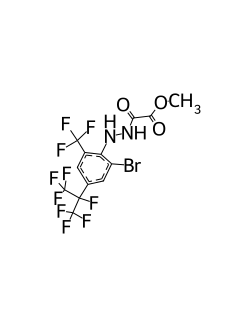 COC(=O)C(=O)NNc1c(Br)cc(C(F)(C(F)(F)F)C(F)(F)F)cc1C(F)(F)F